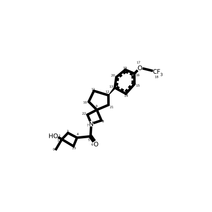 CC1(O)CC(C(=O)N2CC3(CC[C@@H](c4ccc(OC(F)(F)F)cc4)C3)C2)C1